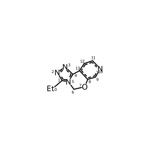 CCc1nnc2n1COc1cnccc1-2